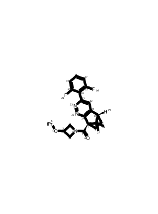 CC(C)OC1CN(C(=O)[C@@]23CC[C@@H](c4cc(-c5c(F)cccc5F)nnc42)C3(C)C)C1